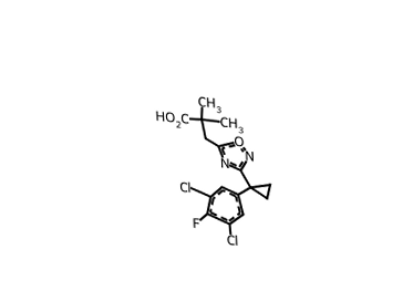 CC(C)(Cc1nc(C2(c3cc(Cl)c(F)c(Cl)c3)CC2)no1)C(=O)O